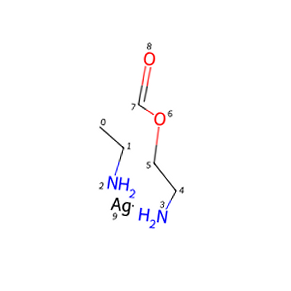 CCN.NCCOC=O.[Ag]